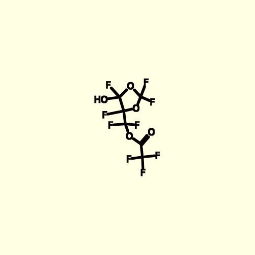 O=C(OC(F)(F)C1(F)OC(F)(F)OC1(O)F)C(F)(F)F